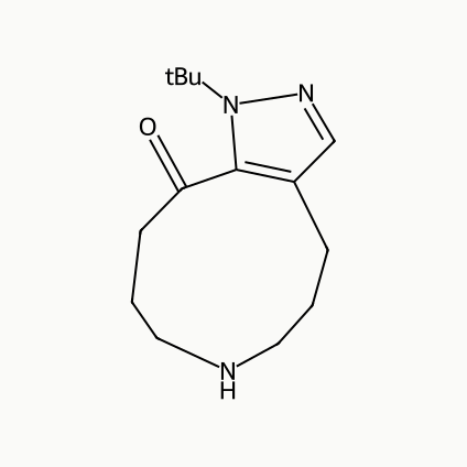 CC(C)(C)n1ncc2c1C(=O)CCCNCCC2